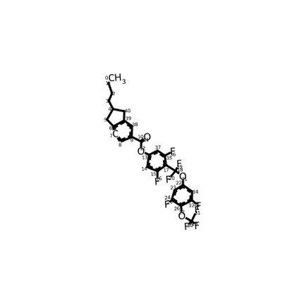 CCCCC1Cc2ccc(C(=O)Oc3cc(F)c(C(F)(F)Oc4cc(F)c(OC(F)(F)F)c(F)c4)c(F)c3)cc2C1